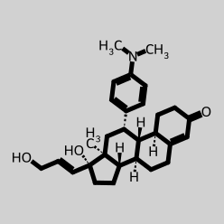 CN(C)c1ccc([C@H]2C[C@@]3(C)[C@@H](CC[C@@]3(O)C=CCO)[C@@H]3CCC4=CC(=O)CC[C@@H]4[C@H]32)cc1